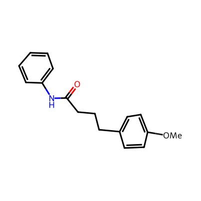 COc1ccc(CCCC(=O)Nc2ccccc2)cc1